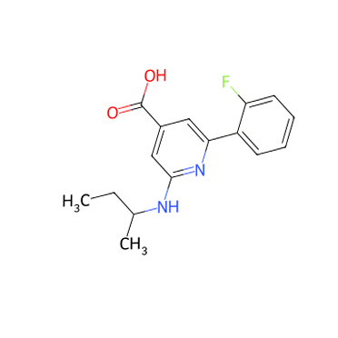 CCC(C)Nc1cc(C(=O)O)cc(-c2ccccc2F)n1